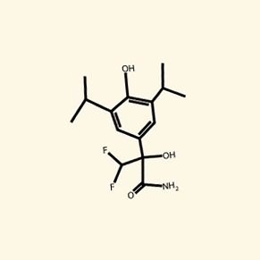 CC(C)c1cc(C(O)(C(N)=O)C(F)F)cc(C(C)C)c1O